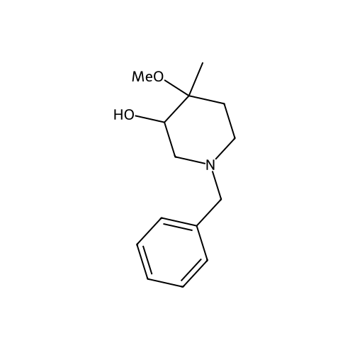 COC1(C)CCN(Cc2ccccc2)CC1O